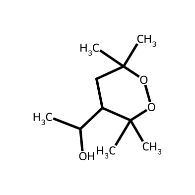 CC(O)C1CC(C)(C)OOC1(C)C